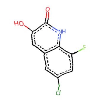 O=c1[nH]c2c(F)cc(Cl)cc2cc1O